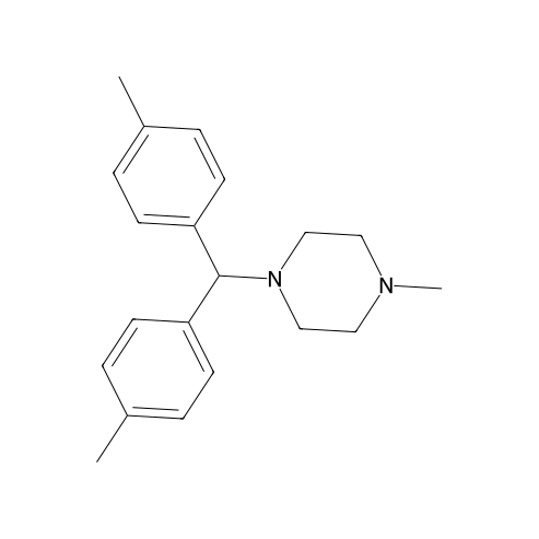 Cc1ccc(C(c2ccc(C)cc2)N2CCN(C)CC2)cc1